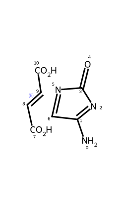 NC1=NC(=O)N=C1.O=C(O)/C=C/C(=O)O